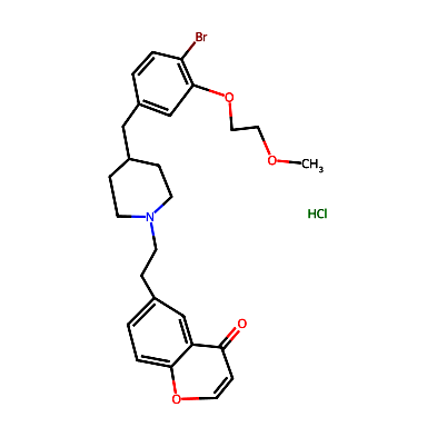 COCCOc1cc(CC2CCN(CCc3ccc4occc(=O)c4c3)CC2)ccc1Br.Cl